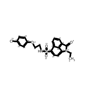 CCN1C(=O)c2cccc3c(S(=O)(=O)NCCOc4ccc(Cl)cc4)ccc1c23